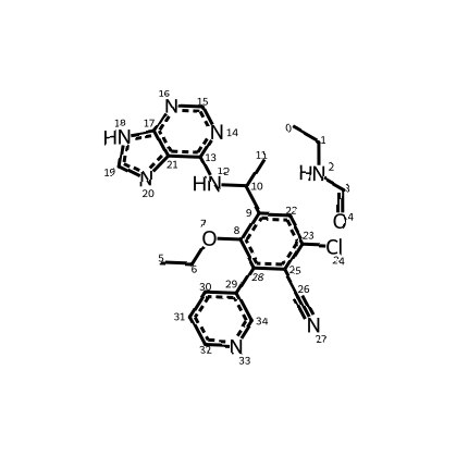 CCNC=O.CCOc1c(C(C)Nc2ncnc3[nH]cnc23)cc(Cl)c(C#N)c1-c1cccnc1